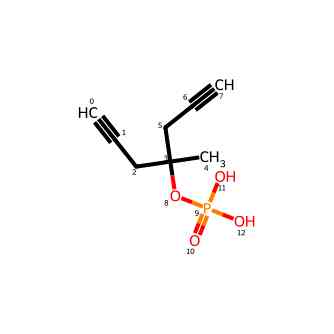 C#CCC(C)(CC#C)OP(=O)(O)O